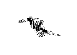 CCCCCCCCCCN(CCCCCCCCCC)CC(=O)OCC[C@@H]1NC(=O)[C@H](CCOC(=O)CN(CCCCCCCCCC)CCCCCCCCCC)NC1=O